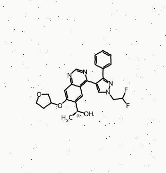 C[C@H](O)c1cc2c(-c3cn(CC(F)F)nc3-c3ccccc3)ncnc2cc1OC1CCOC1